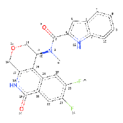 CN(C(=O)c1cc2ccccc2[nH]1)[C@@H]1COCc2[nH]c(=O)c3cc(F)c(F)cc3c21